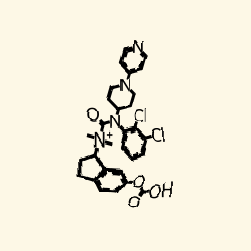 C[N+](C)(C(=O)N(c1cccc(Cl)c1Cl)C1CCN(c2ccncc2)CC1)C1CCc2ccc(OC(=O)O)cc21